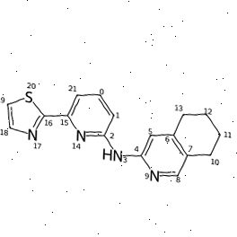 c1cc(Nc2cc3c(cn2)CCCC3)nc(-c2nccs2)c1